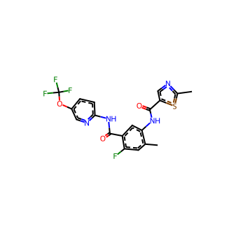 Cc1ncc(C(=O)Nc2cc(C(=O)Nc3ccc(OC(F)(F)F)cn3)c(F)cc2C)s1